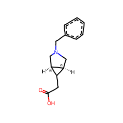 O=C(O)CC1[C@H]2CN(Cc3ccccc3)C[C@@H]12